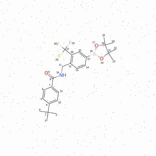 CC(C)(C)c1ccc(C(=O)NCc2ccc(B3OC(C)(C)C(C)(C)O3)cc2C(F)(F)F)cc1